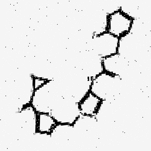 O=C(Nc1cnn(Cc2ccc(C(=O)C3CC3)o2)c1)OCc1ccccc1Cl